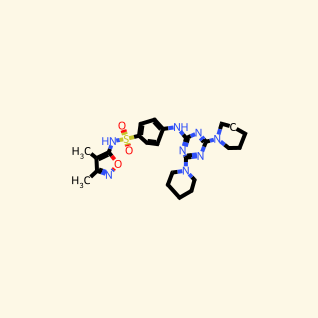 Cc1noc(NS(=O)(=O)c2ccc(Nc3nc(N4CCCCC4)nc(N4CCCCC4)n3)cc2)c1C